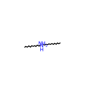 CCCCCCCCCCCCCNC(N)CCCCCCCCCCC